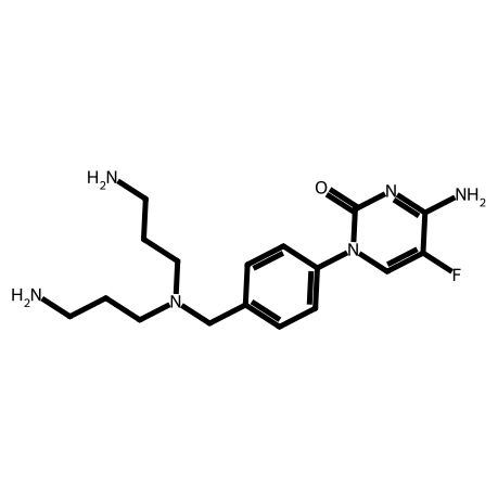 NCCCN(CCCN)Cc1ccc(-n2cc(F)c(N)nc2=O)cc1